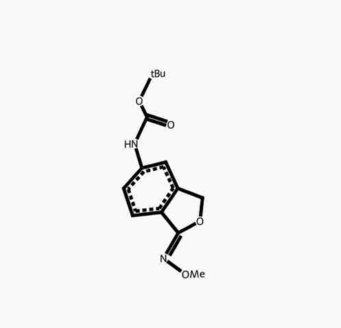 CO/N=C1\OCc2cc(NC(=O)OC(C)(C)C)ccc21